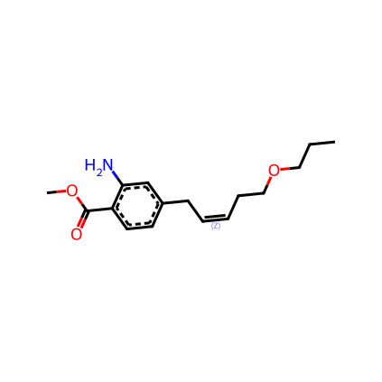 CCCOCC/C=C\Cc1ccc(C(=O)OC)c(N)c1